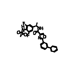 C[C@@H](NC(=O)c1coc(-c2cccc(-c3ccccc3)c2)n1)c1cc(F)c(NS(C)(=O)=O)c(F)c1